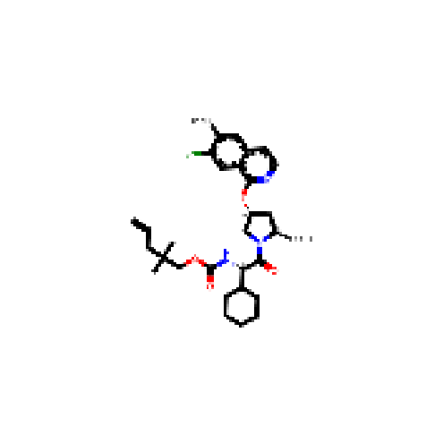 C=CCC(C)(C)COC(=O)N[C@H](C(=O)N1C[C@H](Oc2nccc3cc(OC)c(Br)cc23)C[C@H]1C(=O)O)C1CCCCC1